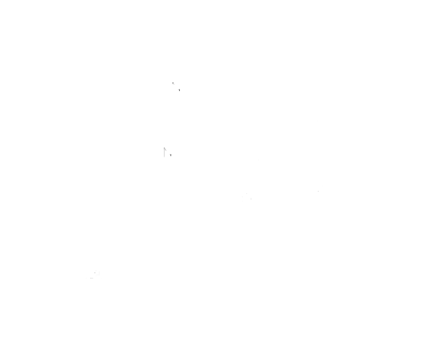 Cc1nc2n(c1C)-c1cc(C(C)(C)C)ccc1Oc1c-2cccc1C(F)(F)F